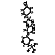 FC(F)(F)c1cccc(-c2cnc3nc(-c4ccc(Cl)cc4)cn3c2)c1